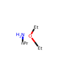 CCCN.CCOCC